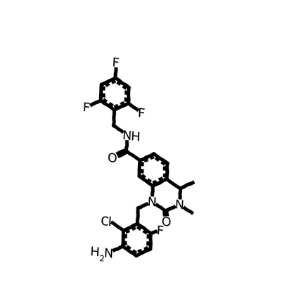 CC1c2ccc(C(=O)NCc3c(F)cc(F)cc3F)cc2N(Cc2c(F)ccc(N)c2Cl)C(=O)N1C